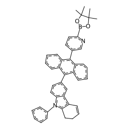 CC1(C)OB(c2ccc(-c3c4ccccc4c(-c4ccc5c(c4)c4c(n5-c5ccccc5)CCC=C4)c4ccccc34)cn2)OC1(C)C